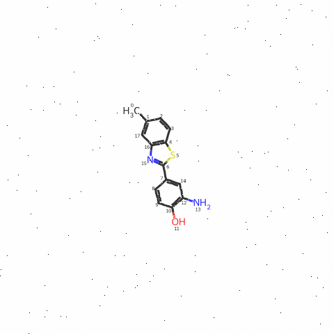 Cc1ccc2sc(-c3ccc(O)c(N)c3)nc2c1